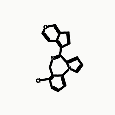 Clc1cccc2c1CN=C(c1ccc3coccc1-3)c1cccn1-2